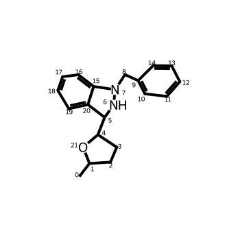 CC1CCC(C2NN(Cc3ccccc3)c3ccccc32)O1